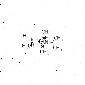 CC(C)N1[SiH](C)N([SiH](C)C)[SiH]1C